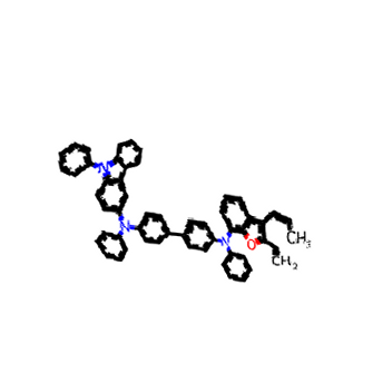 C=Cc1oc2c(N(c3ccccc3)c3ccc(-c4ccc(N(c5ccccc5)c5ccc6c(c5)c5ccccc5n6-c5ccccc5)cc4)cc3)cccc2c1/C=C\C